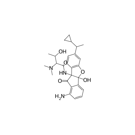 CC(O)C(C(=O)NC12C(=O)c3c(N)cccc3C1(O)Oc1cc(C(C)C3CC3)ccc12)N(C)C